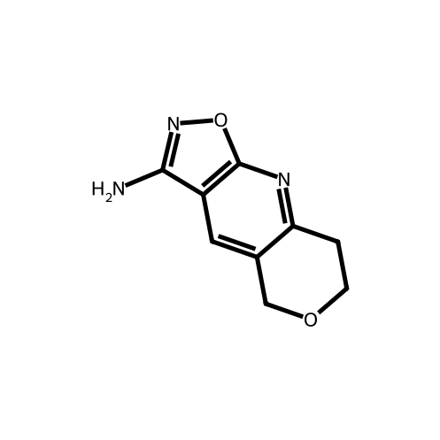 Nc1noc2nc3c(cc12)COCC3